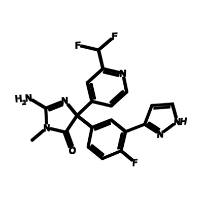 CN1C(=O)C(c2ccnc(C(F)F)c2)(c2ccc(F)c(-c3cc[nH]n3)c2)N=C1N